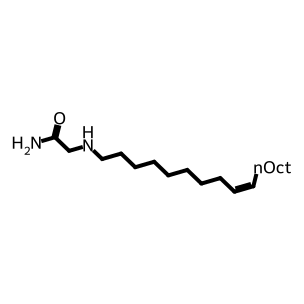 CCCCCCCC/C=C\CCCCCCCCNCC(N)=O